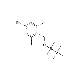 Cc1cc(Br)cc(C)c1CO[Si](C)(C)C(C)(C)C